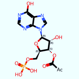 CC(=O)C(=O)O[C@H]1[C@@H](O)[C@H](n2cnc3c(O)ncnc32)O[C@@H]1COP(=O)(O)O